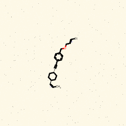 C/C=C\[C@H]1CC[C@H](C#Cc2ccc(COC/C=C/CC)cc2)CC1